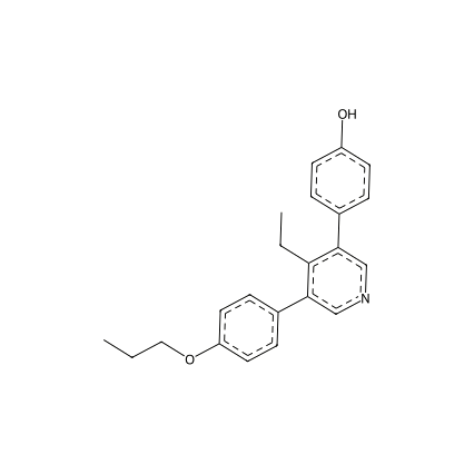 CCCOc1ccc(-c2cncc(-c3ccc(O)cc3)c2CC)cc1